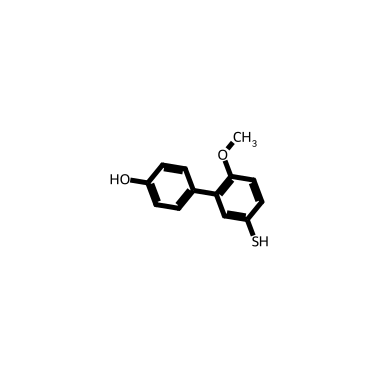 COc1ccc(S)cc1-c1ccc(O)cc1